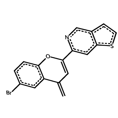 C=C1C=C(c2cc3sccc3cn2)Oc2ccc(Br)cc21